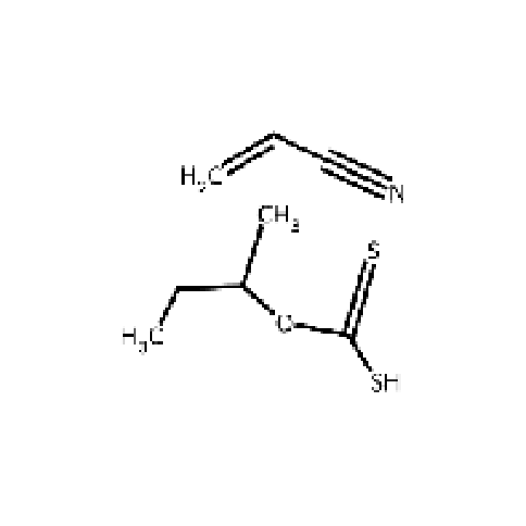 C=CC#N.CCC(C)OC(=S)S